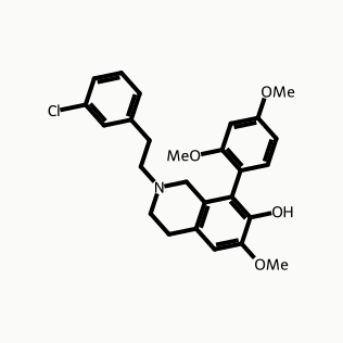 COc1ccc(-c2c(O)c(OC)cc3c2CN(CCc2cccc(Cl)c2)CC3)c(OC)c1